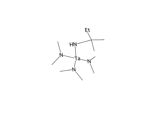 CCC(C)(C)[NH][Ta]([N](C)C)([N](C)C)[N](C)C